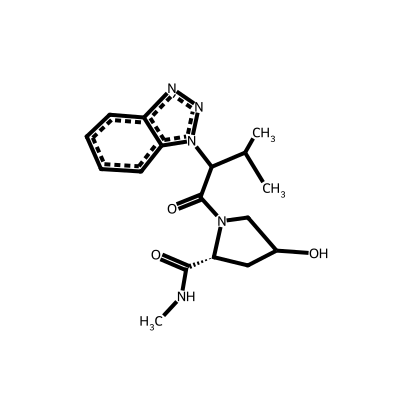 CNC(=O)[C@H]1CC(O)CN1C(=O)C(C(C)C)n1nnc2ccccc21